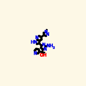 Cn1cc(-c2cnc3[nH]cc(-c4cc(C(C)(O)c5cccnc5)nc(N)n4)c3c2)cn1